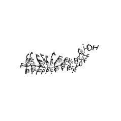 OCC(F)(F)C(F)(F)OC(F)(F)C(F)(F)C(F)(F)C(F)(F)C(F)(F)C(F)(F)C(F)(F)C(F)(F)C(F)(F)C(F)(F)F